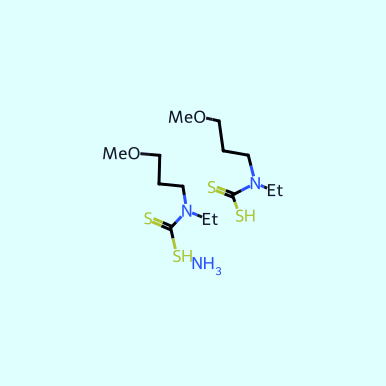 CCN(CCCOC)C(=S)S.CCN(CCCOC)C(=S)S.N